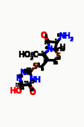 NC1C(=O)N2C(C(=O)O)=C(CSc3nnc(O)c(=O)[nH]3)CS[C@H]12